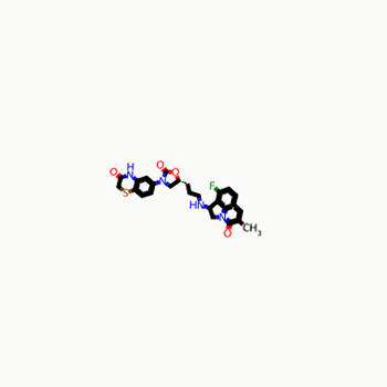 Cc1cc2ccc(F)c3c2n(c1=O)CC3NCCC[C@@H]1CN(c2ccc3c(c2)NC(=O)CS3)C(=O)O1